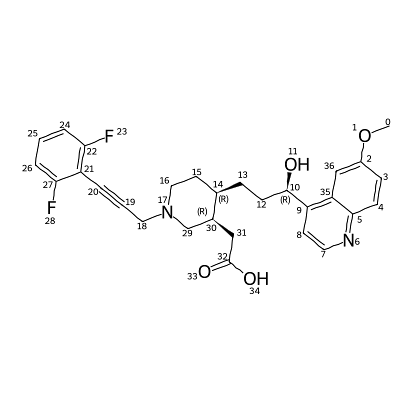 COc1ccc2nccc([C@H](O)CC[C@@H]3CCN(CC#Cc4c(F)cccc4F)C[C@@H]3CC(=O)O)c2c1